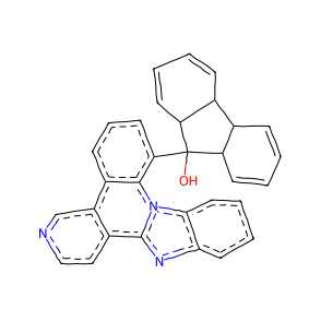 OC1(c2cccc3c4cnccc4c4nc5ccccc5n4c23)C2C=CC=CC2C2C=CC=CC21